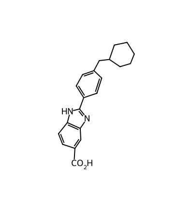 O=C(O)c1ccc2[nH]c(-c3ccc(CC4CCCCC4)cc3)nc2c1